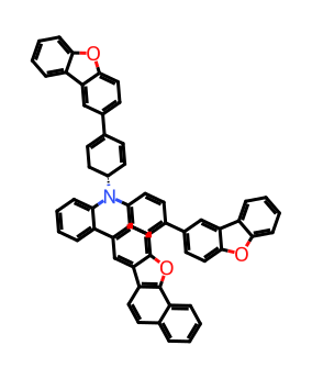 C1=C[C@H](N(c2ccc(-c3ccc4oc5ccccc5c4c3)cc2)c2ccccc2-c2ccc3oc4c5ccccc5ccc4c3c2)CC=C1c1ccc2oc3ccccc3c2c1